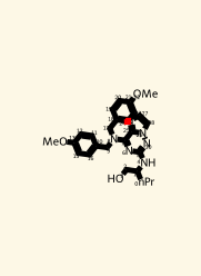 CCCC(CO)Nc1nc(N(Cc2ccc(OC)cc2)Cc2ccc(OC)cc2)c2nccn2n1